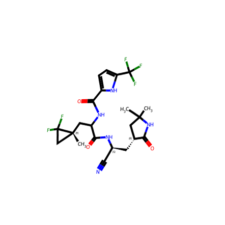 CC1(C)C[C@@H](C[C@@H](C#N)NC(=O)C(C[C@]2(C)CC2(F)F)NC(=O)c2ccc(C(F)(F)F)[nH]2)C(=O)N1